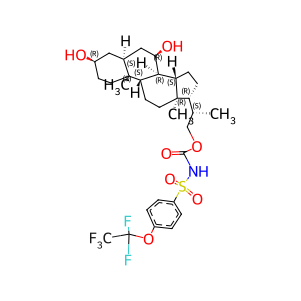 C[C@H](COC(=O)NS(=O)(=O)c1ccc(OC(F)(F)C(F)(F)F)cc1)[C@H]1CC[C@H]2[C@@H]3[C@H](O)C[C@@H]4C[C@H](O)CC[C@]4(C)[C@H]3CC[C@]12C